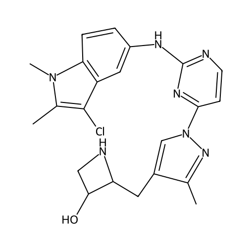 Cc1nn(-c2ccnc(Nc3ccc4c(c3)c(Cl)c(C)n4C)n2)cc1CC1NCC1O